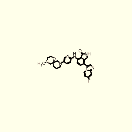 CN1CCO[C@@]2(CCCN(c3ccc(Nc4ccc(-c5cnc6cc(F)ccn56)c5c4C(=O)NC5)nc3)C2)C1